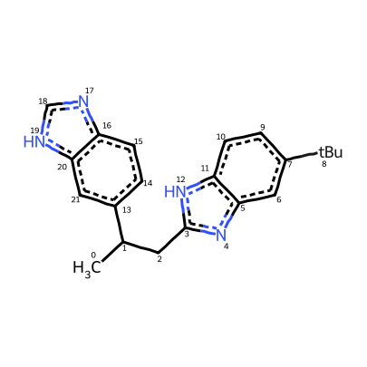 CC(Cc1nc2cc(C(C)(C)C)ccc2[nH]1)c1ccc2nc[nH]c2c1